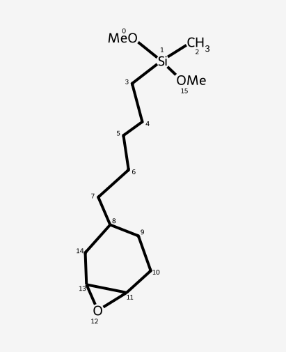 CO[Si](C)(CCCCCC1CCC2OC2C1)OC